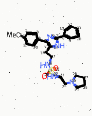 COc1ccc(-c2nc(-c3ccccc3)[nH]c2CCNS(=O)(=O)NCCN2CCCC2)cc1